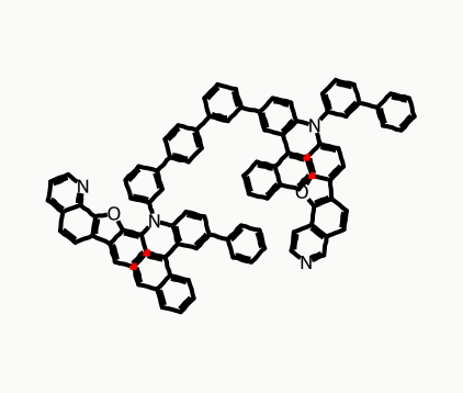 c1ccc(-c2cccc(N(c3ccc4c(c3)oc3c5ccncc5ccc43)c3ccc(-c4cccc(-c5ccc(-c6cccc(N(c7ccc(-c8ccccc8)cc7-c7cccc8ccccc78)c7cccc8c7oc7c8ccc8cccnc87)c6)cc5)c4)cc3-c3cccc4ccccc34)c2)cc1